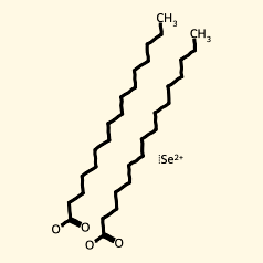 CCCCCCCCCCCCCCCC(=O)[O-].CCCCCCCCCCCCCCCC(=O)[O-].[Se+2]